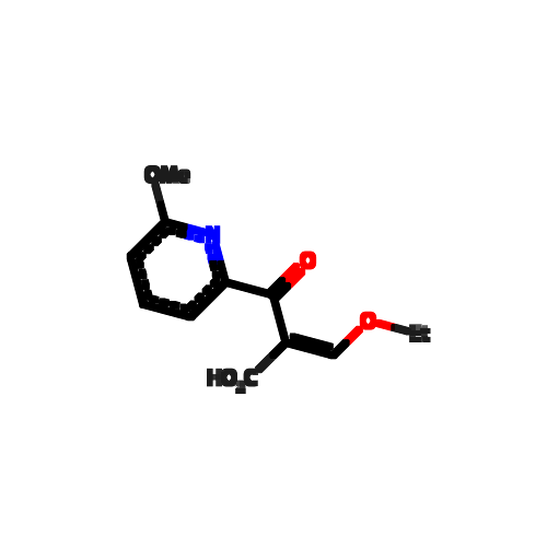 CCO/C=C(/C(=O)O)C(=O)c1cccc(OC)n1